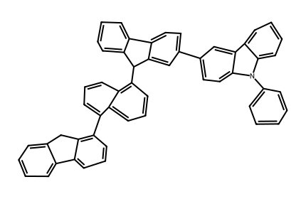 c1ccc(-n2c3ccccc3c3cc(-c4ccc5c(c4)C(c4cccc6c(-c7cccc8c7Cc7ccccc7-8)cccc46)c4ccccc4-5)ccc32)cc1